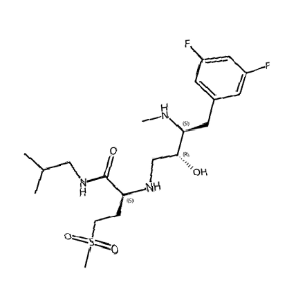 CN[C@@H](Cc1cc(F)cc(F)c1)[C@H](O)CN[C@@H](CCS(C)(=O)=O)C(=O)NCC(C)C